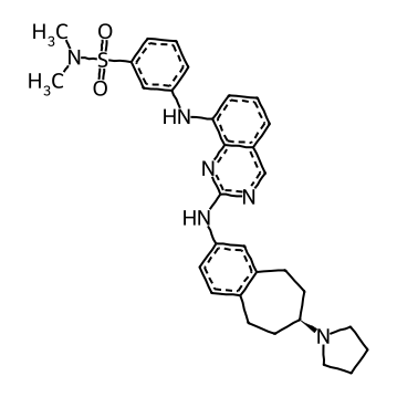 CN(C)S(=O)(=O)c1cccc(Nc2cccc3cnc(Nc4ccc5c(c4)CC[C@@H](N4CCCC4)CC5)nc23)c1